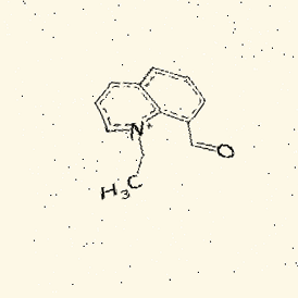 CC[n+]1cccc2cccc(C=O)c21